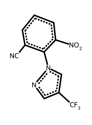 N#Cc1cccc([N+](=O)[O-])c1-n1cc(C(F)(F)F)cn1